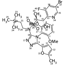 COc1cccc(OC)c1-n1c(-c2ccc(C)o2)nnc1N(CC[Si](C)(C)C)S(=O)(=O)[C@@H](C)[C@@H](O)c1ncc(Br)cc1F